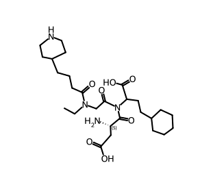 CCN(CC(=O)N(C(=O)[C@@H](N)CC(=O)O)C(CCC1CCCCC1)C(=O)O)C(=O)CCCC1CCNCC1